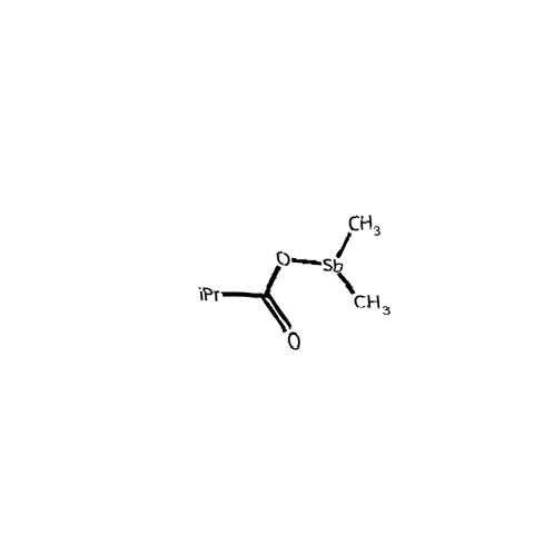 CC(C)C(=O)[O][Sb]([CH3])[CH3]